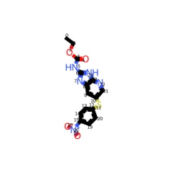 CCOC(=O)Nc1nc2cc(Sc3ccc([N+](=O)[O-])cc3)cnc2[nH]1